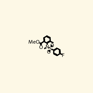 COC(=O)c1cccc(C)c1N(C)S(=O)(=O)c1ccc(F)cc1